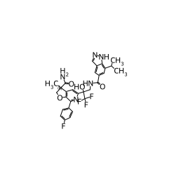 CC(C)c1cc(C(=O)NCC(O)(c2cc3c(c(-c4ccc(F)cc4)n2)OC[C@]3(C)C(N)=O)C(F)(F)F)cc2cn[nH]c12